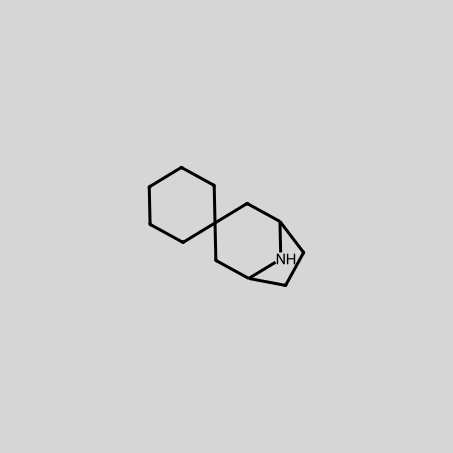 C1CCC2(CC1)CC1CCC(C2)N1